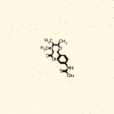 CC(OCc1ccc(NC(O)=S)cc1)C(C)N(C)CC(=O)O